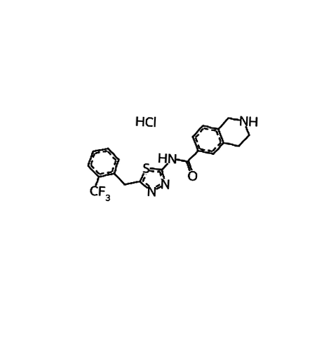 Cl.O=C(Nc1nnc(Cc2ccccc2C(F)(F)F)s1)c1ccc2c(c1)CCNC2